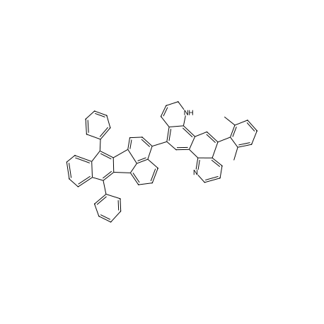 Cc1cccc(C)c1-c1cc2c3c(c(-c4ccc5c6c(cccc46)-c4c-5c(-c5ccccc5)c5ccccc5c4-c4ccccc4)cc2c2ncccc12)C=CCN3